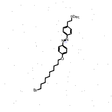 CCCCCCCCCCCCc1ccc(/N=N/c2ccc(OCCCCCCCCCCBr)cc2)cc1